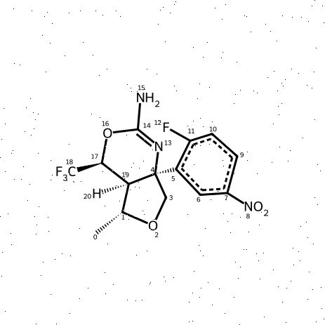 C[C@H]1OC[C@]2(c3cc([N+](=O)[O-])ccc3F)N=C(N)O[C@H](C(F)(F)F)[C@H]12